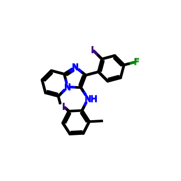 Cc1cccc(I)c1Nc1c(-c2ccc(F)cc2I)nc2cccc(C)n12